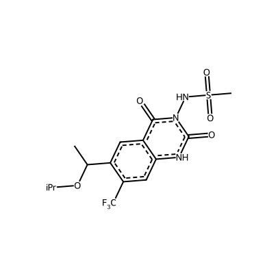 CC(C)OC(C)c1cc2c(=O)n(NS(C)(=O)=O)c(=O)[nH]c2cc1C(F)(F)F